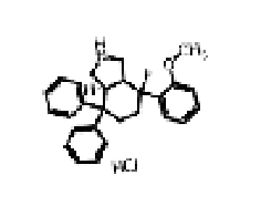 COc1ccccc1C1(F)CCC(c2ccccc2)(c2ccccc2)[C@H]2CNCC21.Cl